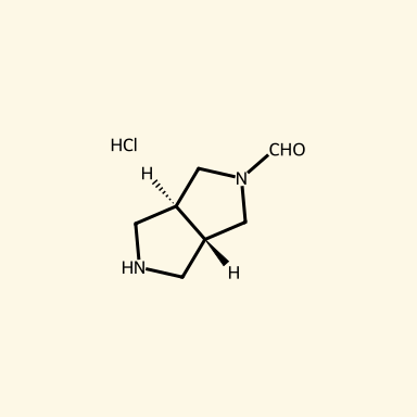 Cl.O=CN1C[C@@H]2CNC[C@H]2C1